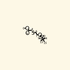 COC(=O)CSCCO[Si](C)(C)C(C)(C)C